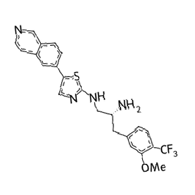 COc1cc(C[C@@H](N)CNc2ncc(-c3ccc4cnccc4c3)s2)ccc1C(F)(F)F